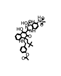 CC(=O)Oc1cccc(CNC2(CCC(C)(C)C)C(=O)C(C3=NS(O)(O)c4cc(NS(C)(=O)=O)ccc4N3)=C(O)c3ccccc32)c1